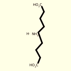 N.O=C(O)CCCCCCCC(=O)O.[H]